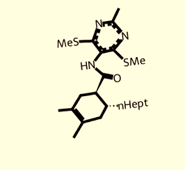 CCCCCCC[C@@H]1CC(C)=C(C)C[C@H]1C(=O)Nc1c(SC)nc(C)nc1SC